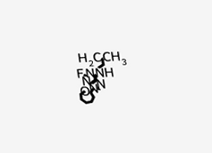 C=C(C)CCNc1nc(F)nc2c1ncn2C1CCCCCO1